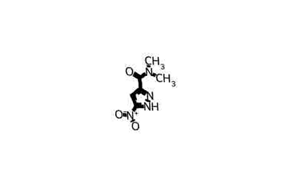 CN(C)C(=O)c1cc([N+](=O)[O-])[nH]n1